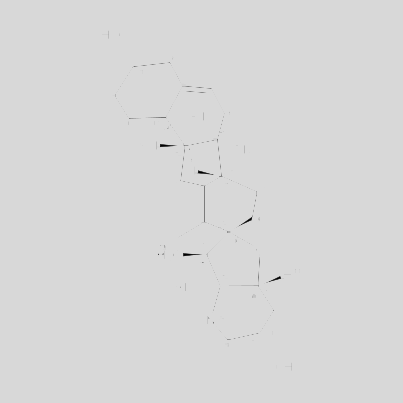 CC1C2C[C@H]3[C@@H](CC=C4C[C@@H](O)CC[C@@]43C)[C@@H]2CC[C@]12O[C@@H]1C[C@H](C)CN[C@H]1[C@H]2C